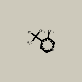 Cc1[c]nccc1C(C)(C)O